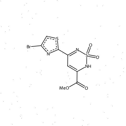 COC(=O)C1=CC(c2nc(Br)cs2)=NS(=O)(=O)N1